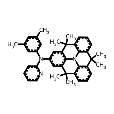 Cc1cc(C)cc(N(c2cc3c4c(c2)C(C)(C)c2cccc5c2N4c2c(cccc2C3(C)C)C5(C)C)c2ccccn2)c1